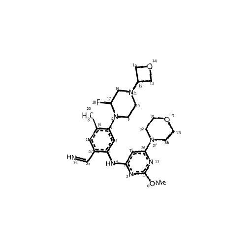 COc1nc(Nc2cc(N3CCN(C4COC4)CC3F)c(C)cc2C=N)cc(N2CCOCC2)n1